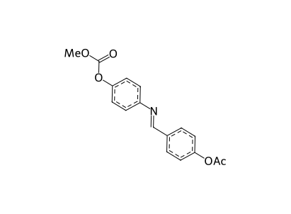 COC(=O)Oc1ccc(N=Cc2ccc(OC(C)=O)cc2)cc1